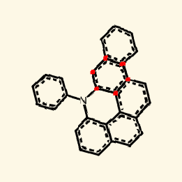 c1ccc(N(c2ccccc2)c2cccc3ccc4ccc5c6ccccc6ccc5c4c23)cc1